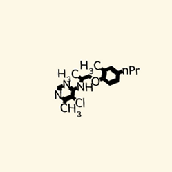 CCCc1ccc(OCC(C)Nc2ncnc(C)c2Cl)c(C)c1